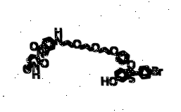 O=C1CCC(N2Cc3cc(NCCCOCCCOCCCOc4ccc(Oc5c(-c6ccc(Br)cc6)sc6cc(O)ccc56)cc4)ccc3C2=O)C(=O)N1